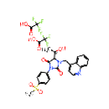 C[C@@H](O)C1C(=O)N(c2ccc(S(=O)(=O)C(F)(F)F)cc2)C(=O)N1Cc1ccnc2ccccc12.O=C(O)C(F)(F)F.O=C(O)C(F)(F)F